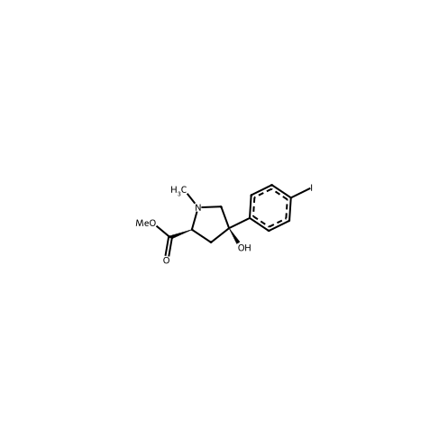 COC(=O)[C@@H]1C[C@@](O)(c2ccc(I)cc2)CN1C